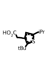 CC(C)c1cc(CC(=O)O)c(C(C)(C)C)s1